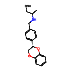 COCC(C)NCc1ccc([C@H]2COc3ccccc3O2)cc1